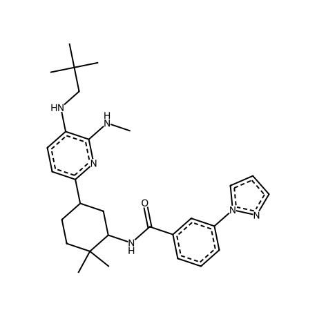 CNc1nc(C2CCC(C)(C)C(NC(=O)c3cccc(-n4cccn4)c3)C2)ccc1NCC(C)(C)C